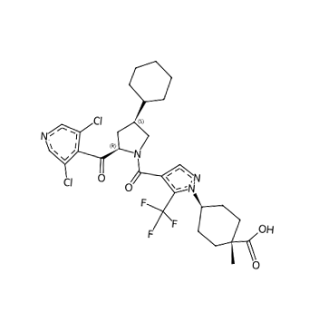 C[C@]1(C(=O)O)CC[C@H](n2ncc(C(=O)N3C[C@H](C4CCCCC4)C[C@@H]3C(=O)c3c(Cl)cncc3Cl)c2C(F)(F)F)CC1